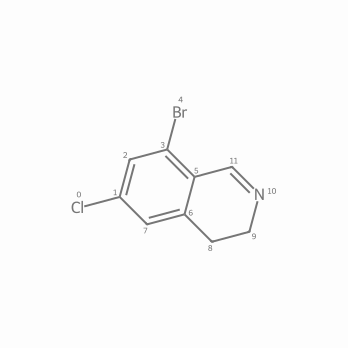 Clc1cc(Br)c2c(c1)CCN=C2